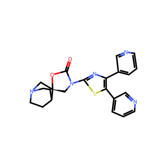 O=C1O[C@]2(CN3CCC2CC3)CN1c1nc(-c2cccnc2)c(-c2cccnc2)s1